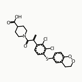 C=C(C(=O)N1CCC(C(=O)O)CC1)c1ccc(Sc2ccc3c(c2)CCOO3)c(Cl)c1Cl